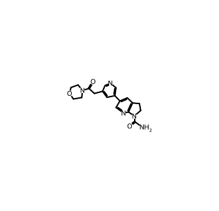 NC(=O)N1CCc2cc(-c3cncc(CC(=O)N4CCOCC4)c3)cnc21